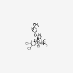 CCn1c(C(C)NS(=O)(=O)c2ccc(Cl)c(Cl)c2)cnc1Oc1ccc(C)nc1